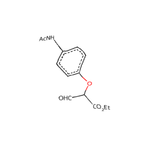 CCOC(=O)C(C=O)Oc1ccc(NC(C)=O)cc1